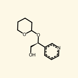 OC[C@@H](OC1CCCCO1)c1cccnc1